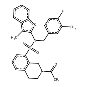 Cc1cc(CN(c2sc3ccccc3c2C)S(=O)(=O)c2cccc3c2CN(C(=O)C(F)(F)F)CC3)ccc1F